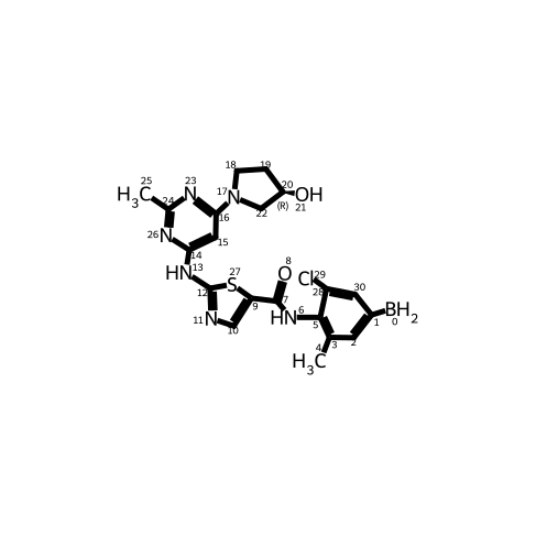 Bc1cc(C)c(NC(=O)c2cnc(Nc3cc(N4CC[C@@H](O)C4)nc(C)n3)s2)c(Cl)c1